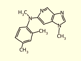 Cc1ccc(N(C)c2cc3c(cn2)ncn3C)c(C)c1